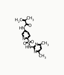 C=C(C)C(=O)Nc1ccc(S(=O)(=O)Nc2nc(C)cc(C)n2)nc1